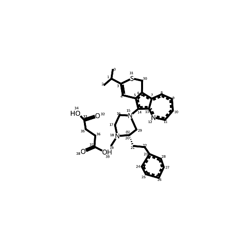 CC(C)C1=Cc2c(c3ccccnc-3c2N2CCN(C)[C@@H](CCc3ccccc3)C2)CS1.O=C(O)CCC(=O)O